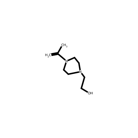 C=C(C)N1CCN(CCO)CC1